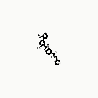 COc1ncccc1-c1ccc(O)c(-c2nc3ccc(C(=O)NCc4cccnc4)cc3[nH]2)c1